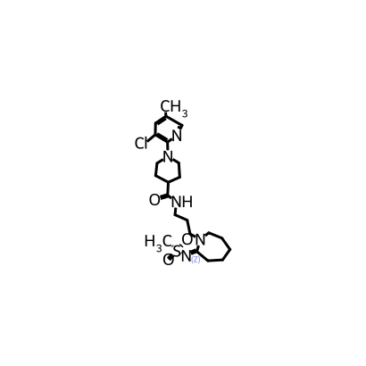 Cc1cnc(N2CCC(C(=O)NCCCN3CCCCC/C3=N/S(C)(=O)=O)CC2)c(Cl)c1